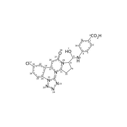 O=C(O)c1ccc(NC(O)C2CCc3nc(-c4cc(Cl)ccc4-n4cnnn4)cc(=O)n32)cc1